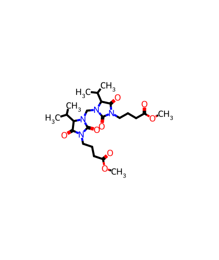 COC(=O)CCCN1C(=O)C(C(C)C)N(CN2C(=O)N(CCCC(=O)OC)C(=O)C2C(C)C)C1=O